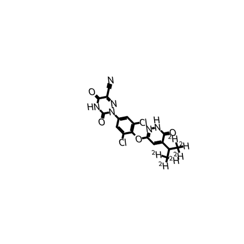 [2H]C([2H])([2H])C(c1cc(Oc2c(Cl)cc(-n3nc(C#N)c(=O)[nH]c3=O)cc2Cl)n[nH]c1=O)C([2H])([2H])[2H]